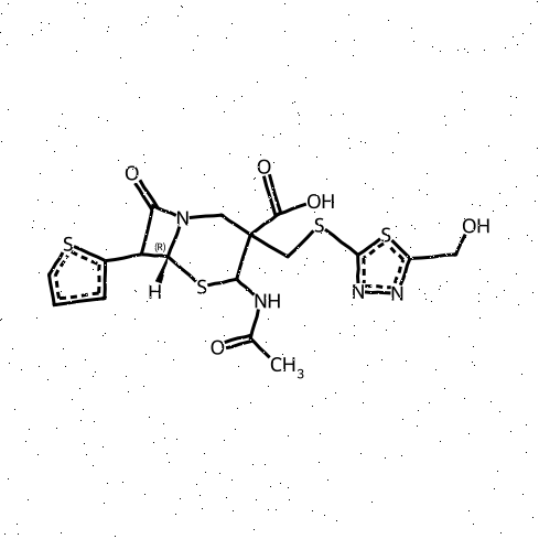 CC(=O)NC1S[C@@H]2C(c3cccs3)C(=O)N2CC1(CSc1nnc(CO)s1)C(=O)O